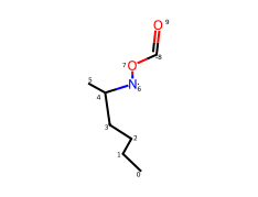 CCCCC(C)[N]O[C]=O